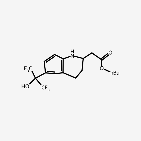 CCCCOC(=O)CC1CCc2cc(C(O)(C(F)(F)F)C(F)(F)F)ccc2N1